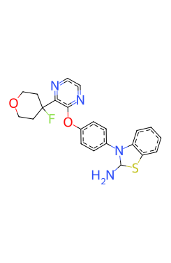 NC1Sc2ccccc2N1c1ccc(Oc2nccnc2C2(F)CCOCC2)cc1